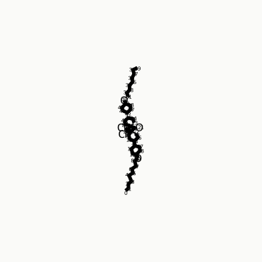 CCCCCCCCCOC1CCC(C2CC[C@]3(CC2)C(=O)[C@@]2(CC[C@@H](C4CCC(OCCCCCCCCC)CC4)CC2)C3(Cl)Cl)CC1